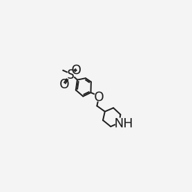 CS(=O)(=O)c1ccc(OCC2CCNCC2)cc1